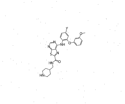 COc1cccc(Oc2cc(F)ccc2Nc2ncnc3sc(C(=O)NCC4CCNCC4)nc23)c1